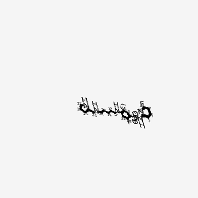 O=S(=O)(Nc1cccc(F)n1)c1cc(Cl)c(NCCCCCNCC2CCCN2)cc1F